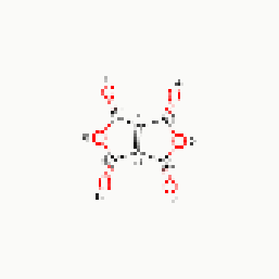 O=c1oc(=O)c2c(=O)oc(=O)c1=2